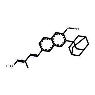 CCCOc1cc2ccc(/C=C/C(C)=C/C(=O)O)cc2cc1C12CC3CC(CC(C3)C1)C2